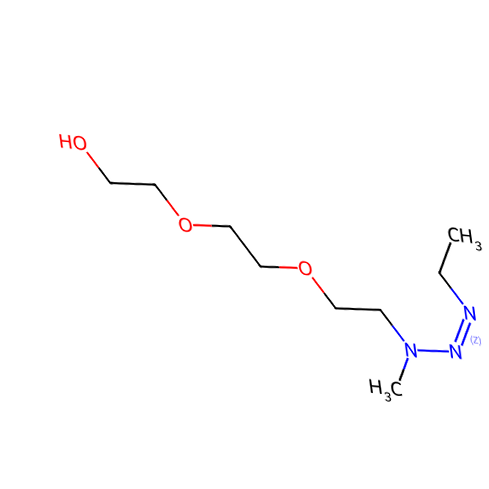 CC/N=N\N(C)CCOCCOCCO